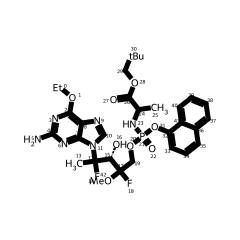 CCOc1nc(N)nc2c1ncn2C(C)(F)[C@H](O)C(F)(COP(=O)(NC(C)C(=O)OCC(C)(C)C)Oc1cccc2ccccc12)OC